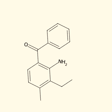 CCc1c(C)ccc(C(=O)c2ccccc2)c1N